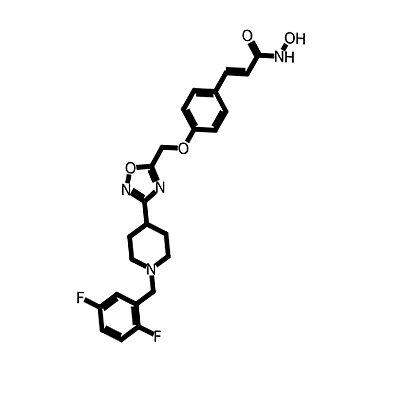 O=C(C=Cc1ccc(OCc2nc(C3CCN(Cc4cc(F)ccc4F)CC3)no2)cc1)NO